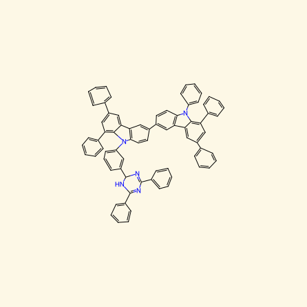 c1ccc(C2=NC(c3cccc(-n4c5ccc(-c6ccc7c(c6)c6cc(-c8ccccc8)cc(-c8ccccc8)c6n7-c6ccccc6)cc5c5cc(-c6ccccc6)cc(-c6ccccc6)c54)c3)NC(c3ccccc3)=N2)cc1